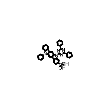 OB(O)c1ccc2c3cc4c(cc3n(-c3nc(-c5ccccc5)nc(-c5ccccc5)n3)c2c1)c1ccccc1n4-c1ccccc1